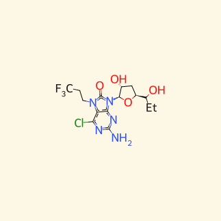 CCC(O)[C@@H]1C[C@@H](O)[C@H](n2c(=O)n(CCC(F)(F)F)c3c(Cl)nc(N)nc32)O1